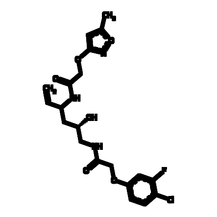 C=CC(C[C@H](O)CNC(=O)COc1ccc(Cl)c(F)c1)NC(=O)COc1cc(C)on1